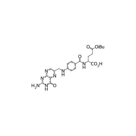 CC(C)COC(=O)CCC(NC(=O)c1ccc(NCc2cnc3nc(N)[nH]c(=O)c3n2)cc1)C(=O)O